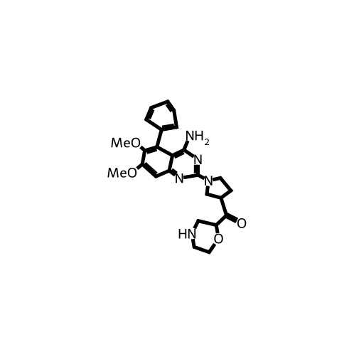 COc1cc2nc(N3CCC(C(=O)C4CNCCO4)C3)nc(N)c2c(-c2ccccc2)c1OC